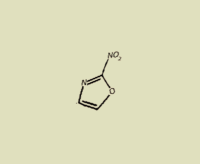 O=[N+]([O-])c1n[c]co1